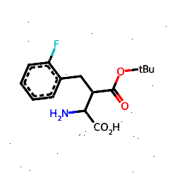 CC(C)(C)OC(=O)C(Cc1ccccc1F)C(N)C(=O)O